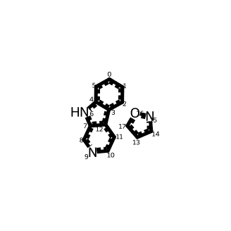 c1ccc2c(c1)[nH]c1cnccc12.c1cnoc1